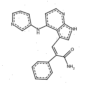 NC(=O)C(=Cc1c[nH]c2nccc(Nc3cccnc3)c12)c1ccccc1